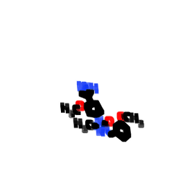 COc1cccc(Cn2nc(C)n(-c3ccc(-c4cn[nH]c4)c(OC)c3)c2=O)c1